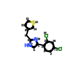 Clc1ccc(-c2c[nH]c(Cc3ccsc3)n2)c(Cl)c1